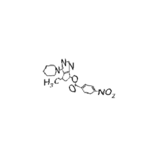 C[C@@H]1C[C@H](OC(=O)c2ccc([N+](=O)[O-])cc2)c2ncnc(N3CCCCC3)c21